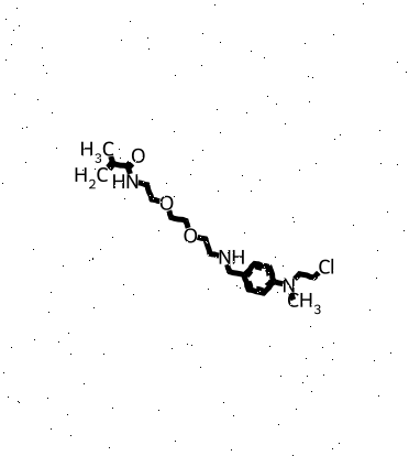 C=C(C)C(=O)NCCOCCOCCNCc1ccc(N(C)CCCl)cc1